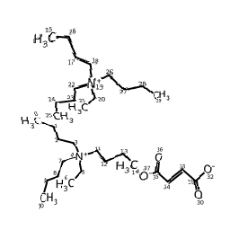 CCCC[N+](CC)(CCCC)CCCC.CCCC[N+](CC)(CCCC)CCCC.O=C([O-])C=CC(=O)[O-]